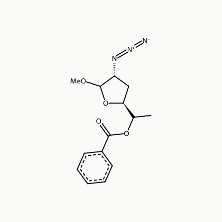 COC1O[C@H](C(C)OC(=O)c2ccccc2)C[C@H]1N=[N+]=[N-]